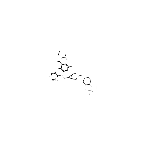 CCN(C(=O)c1cc(F)ccc1Oc1cncnc1NCC1C2CN(C[C@H]3CC[C@H](NS(C)(=O)=O)CC3)CC12)C(C)C